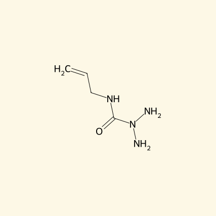 C=CCNC(=O)N(N)N